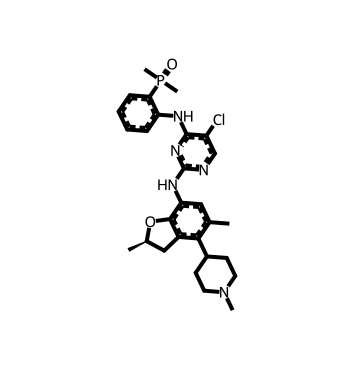 Cc1cc(Nc2ncc(Cl)c(Nc3ccccc3P(C)(C)=O)n2)c2c(c1C1CCN(C)CC1)C[C@@H](C)O2